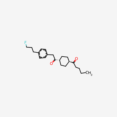 CCCCC(=O)[C@H]1CC[C@H](C(=O)Cc2ccc(CCCF)cc2)CC1